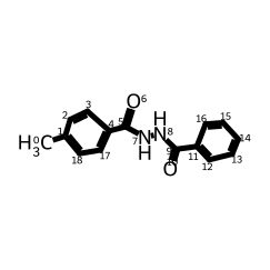 Cc1ccc(C(=O)NNC(=O)c2ccccc2)cc1